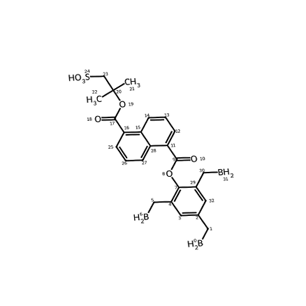 BCc1cc(CB)c(OC(=O)c2cccc3c(C(=O)OC(C)(C)CS(=O)(=O)O)cccc23)c(CB)c1